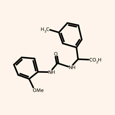 COc1ccccc1NC(=O)NC(C(=O)O)c1cccc(C)c1